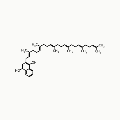 CC(C)=CCC/C(C)=C/CC/C(C)=C/CC/C(C)=C/CC/C(C)=C/CC/C(C)=C/Cc1cc(O)c2ccccc2c1O